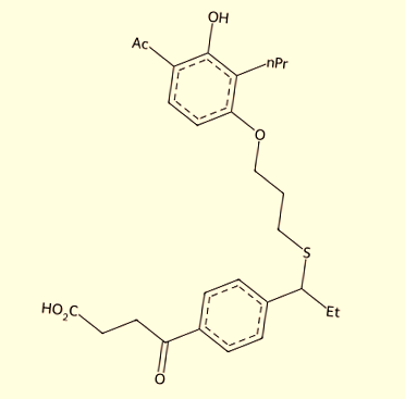 CCCc1c(OCCCSC(CC)c2ccc(C(=O)CCC(=O)O)cc2)ccc(C(C)=O)c1O